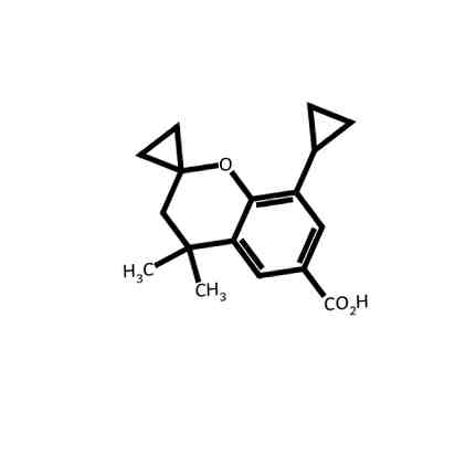 CC1(C)CC2(CC2)Oc2c(C3CC3)cc(C(=O)O)cc21